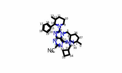 CC1CCC(Cn2c(N3CCCC(C)C3c3ccccc3)nc3nc(C#N)nc(N[C@H](C)C4CCC4)c32)CC1